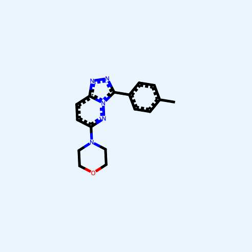 Cc1ccc(-c2nnc3ccc(N4CCOCC4)nn23)cc1